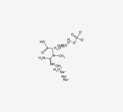 CN(CC(=O)O)C(=N)N.O.O.O.O.O.O.O=P([O-])([O-])[O-].[Na+].[Na+].[Na+]